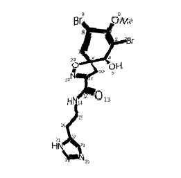 COC1=C(Br)[C@@H](O)[C@]2(C=C1Br)CC(C(=O)NCCc1cnc[nH]1)=NO2